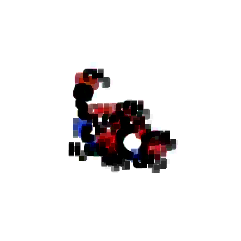 CC[C@H]1OC(=O)[C@H](C)C([C@H]2C[C@@](C)(OC)[C@@H](O)[C@H](C)O2)[C@H](C)[C@@H](O[C@@H]2O[C@H](C)C[C@H](N(C)CCc3cn([C@H](CO)CCCc4ccc(S(C)(=O)=O)cc4)nn3)[C@H]2O)[C@](C)(O)C[C@@H](C)CN(C)[C@H](C)[C@@H](O)[C@]1(C)O